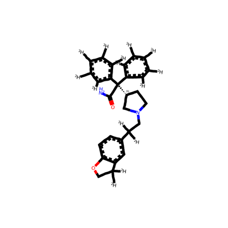 [2H]c1c([2H])c([2H])c(C(C(N)=O)(c2c([2H])c([2H])c([2H])c([2H])c2[2H])[C@@H]2CCN(CC([2H])([2H])c3ccc4c(c3)C([2H])([2H])CO4)C2)c([2H])c1[2H]